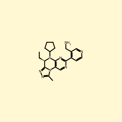 CC[C@@H]1c2nnc(C)n2-c2cnc(-c3ccncc3CN)nc2N1C1CCCC1